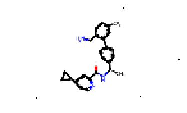 C[C@@H](NC(=O)c1cc(C2CC2)ccn1)c1ccc(-c2cc(C(F)(F)F)ccc2CN)cc1